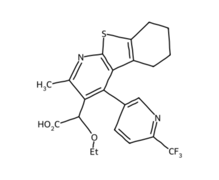 CCOC(C(=O)O)c1c(C)nc2sc3c(c2c1-c1ccc(C(F)(F)F)nc1)CCCC3